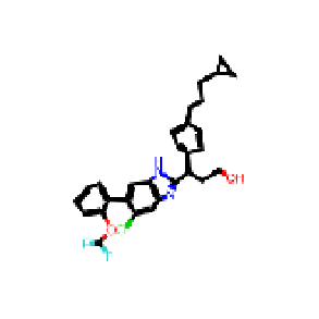 OCCC(c1ccc(CCCC2CC2)cc1)c1nc2cc(Cl)c(-c3ccccc3OC(F)F)cc2[nH]1